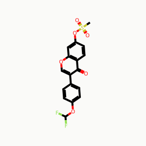 CS(=O)(=O)Oc1ccc2c(=O)c(-c3ccc(OC(F)F)cc3)coc2c1